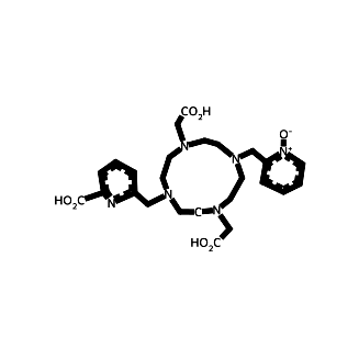 O=C(O)CN1CCN(Cc2cccc(C(=O)O)n2)CCN(CC(=O)O)CCN(Cc2cccc[n+]2[O-])CC1